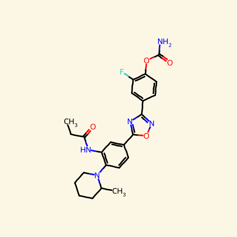 CCC(=O)Nc1cc(-c2nc(-c3ccc(OC(N)=O)c(F)c3)no2)ccc1N1CCCCC1C